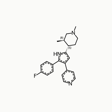 C[C@H]1CN(C)CC[C@@H]1c1cc(-c2ccncc2)c(-c2ccc(F)cc2)[nH]1